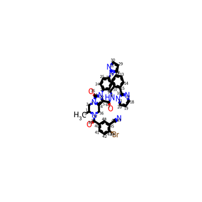 CC1Cn2c(c(C(=O)NCc3ccccc3-c3ncccn3)n(-c3ccc(-n4cccn4)cc3)c2=O)CN1C(=O)c1ccc(Br)c(C#N)c1